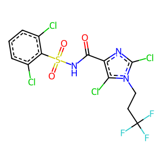 O=C(NS(=O)(=O)c1c(Cl)cccc1Cl)c1nc(Cl)n(CCC(F)(F)F)c1Cl